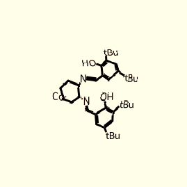 CC(C)(C)c1cc(C=N[C@@H]2CCCC[C@H]2N=Cc2cc(C(C)(C)C)cc(C(C)(C)C)c2O)c(O)c(C(C)(C)C)c1.[Co]